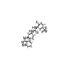 Nc1nnn2cccc(-c3ccc(NC(=O)Nc4cc(C(F)(F)F)ccc4F)cc3)c12